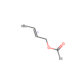 CCCC/C=C/COC(=O)CC